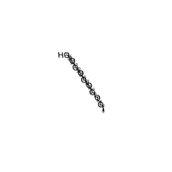 C#CCOCCOCCOCCOCCOCCOCCOCCOCCO